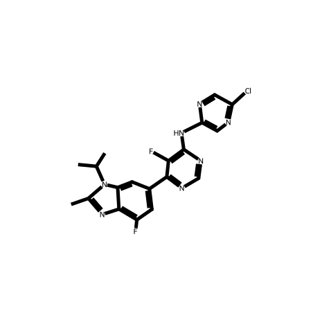 Cc1nc2c(F)cc(-c3ncnc(Nc4cnc(Cl)cn4)c3F)cc2n1C(C)C